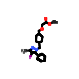 CC(C)(C)OC(=O)COCC1CCC(Cn2nc(C(F)(F)F)c(I)c2-c2ccccc2)CC1